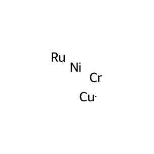 [Cr].[Cu].[Ni].[Ru]